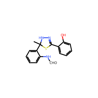 CC1(c2ccccc2NC=O)NN=C(c2ccccc2O)S1